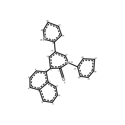 O=c1c(-c2cccc3ccccc23)cc(-c2ccccn2)cn1-c1ccccc1